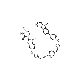 Cn1c2ccncc2c2ccc(-c3ccc(OC4CC(Oc5ccc(C#CCN6CC(Oc7ccc8c(c7)CN(C7CCC(=O)NC7=O)C8=O)C6)nc5)C4)nc3)cc21